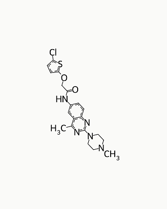 Cc1nc(N2CCN(C)CC2)nc2ccc(NC(=O)COc3ccc(Cl)s3)cc12